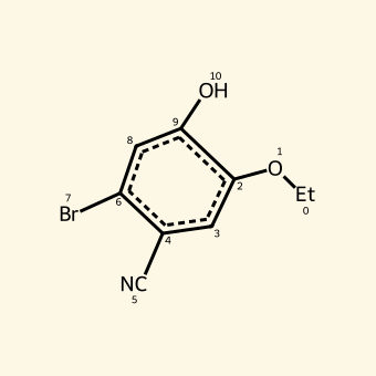 CCOc1cc(C#N)c(Br)cc1O